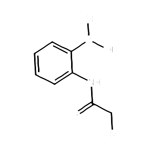 O=C(CBr)Nc1ccccc1B(O)O